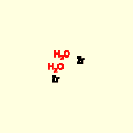 O.O.[Zr].[Zr]